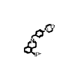 CC(C)c1cccc2c1CCN(Cc1ccc(N3CCOCC3)cc1)C2